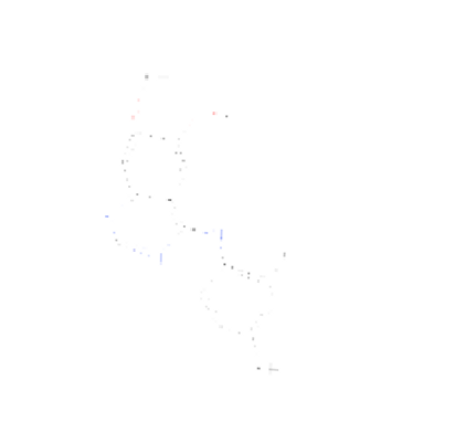 COc1cc2ncnc(Nc3ccc(C)cc3C)c2cc1OC